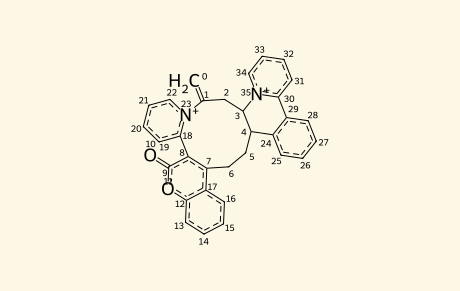 C=C1CC2C(CCc3c(c(=O)oc4ccccc34)-c3cccc[n+]31)c1ccccc1-c1cccc[n+]12